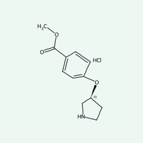 COC(=O)c1ccc(O[C@H]2CCNC2)cc1.Cl